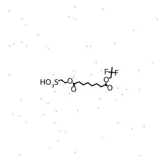 CC(F)(F)COC(=O)CCCCCCC(=O)OCCS(=O)(=O)O